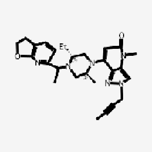 CC#CCn1cc2c(n1)c(N1C[C@@H](CC)N(C(C)c3ccc4c(n3)OCC4)C[C@@H]1C)cc(=O)n2C